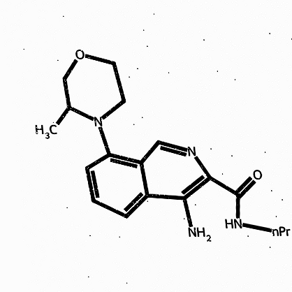 CCCNC(=O)c1ncc2c(N3CCOCC3C)cccc2c1N